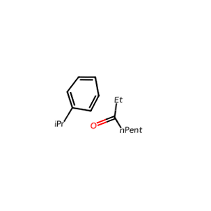 CC(C)c1ccccc1.CCCCCC(=O)CC